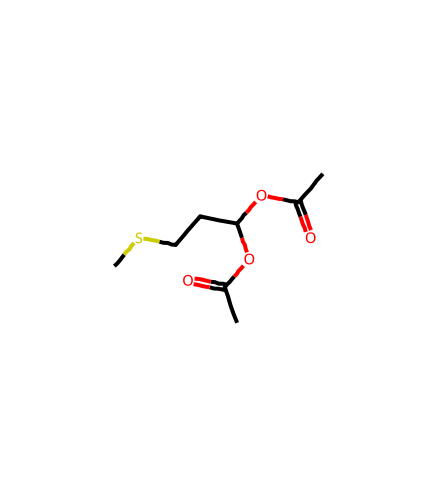 CSCCC(OC(C)=O)OC(C)=O